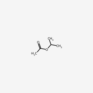 [CH2]C(=O)OC(C)C